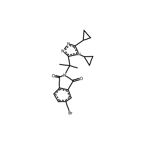 CC(C)(c1nnc(C2CC2)n1C1CC1)N1C(=O)c2ccc(Br)cc2C1=O